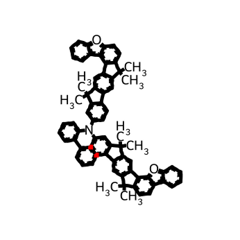 CC1(C)c2cc(N(c3ccc4c(c3)C(C)(C)c3cc5c(cc3-4)C(C)(C)c3ccc4oc6ccccc6c4c3-5)c3ccccc3-c3ccccc3)ccc2-c2cc3c(cc21)-c1c(ccc2c1oc1ccccc12)C3(C)C